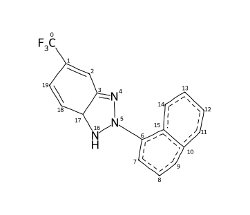 FC(F)(F)C1=CC2=NN(c3cccc4ccccc34)NC2C=C1